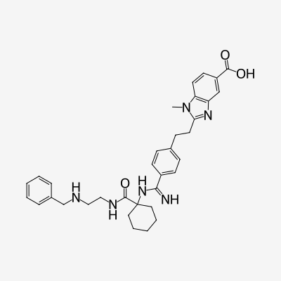 Cn1c(CCc2ccc(C(=N)NC3(C(=O)NCCNCc4ccccc4)CCCCC3)cc2)nc2cc(C(=O)O)ccc21